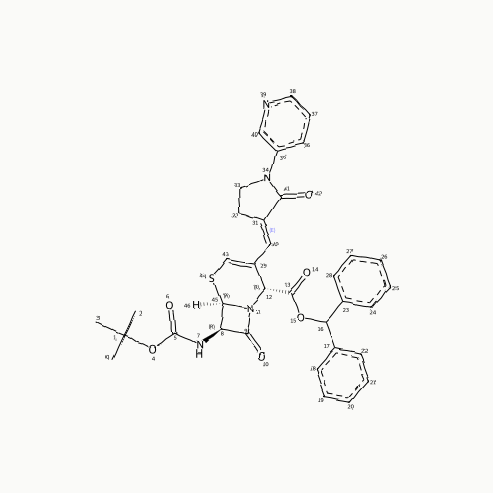 CC(C)(C)OC(=O)N[C@@H]1C(=O)N2[C@@H](C(=O)OC(c3ccccc3)c3ccccc3)C(/C=C3\CCN(c4cccnc4)C3=O)=CS[C@H]12